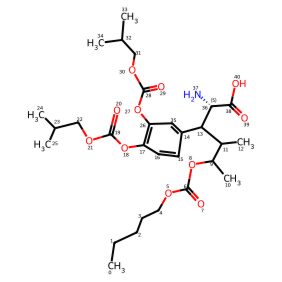 CCCCCOC(=O)OC(C)C(C)C(c1ccc(OC(=O)OCC(C)C)c(OC(=O)OCC(C)C)c1)[C@H](N)C(=O)O